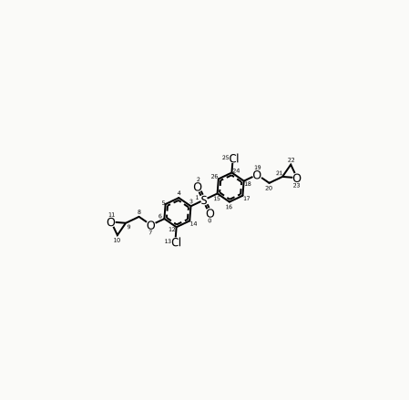 O=S(=O)(c1ccc(OCC2CO2)c(Cl)c1)c1ccc(OCC2CO2)c(Cl)c1